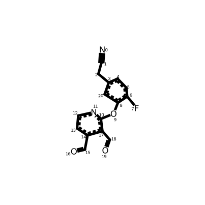 N#CCc1ccc(F)c(Oc2nccc(C=O)c2C=O)c1